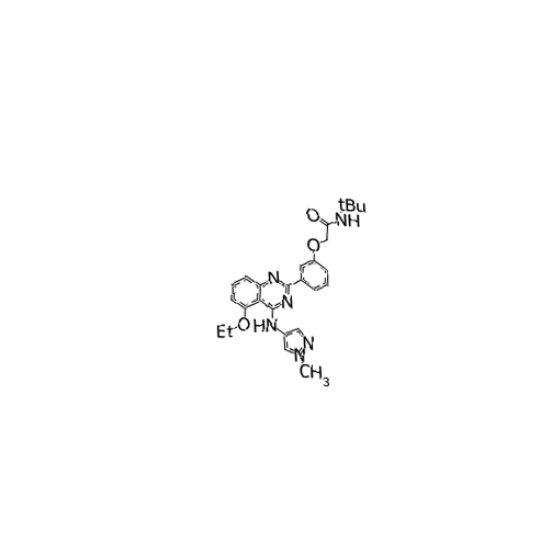 CCOc1cccc2nc(-c3cccc(OCC(=O)NC(C)(C)C)c3)nc(Nc3cnn(C)c3)c12